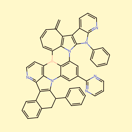 C=C1C=CC=C2B3c4c(cc(-c5ncccn5)cc4-n4c2c1c1c2cccnc2n(-c2ccccc2)c14)-n1c2c(c4nccc3c41)-c1ccccc1CC2c1ccccc1